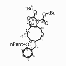 CCCCCO[C@@H]1[C@@H](Cc2ccccc2)COC[C@H](N(C(=O)OC(C)(C)C)C(=O)OC(C)(C)C)C(=O)O[C@H]1C